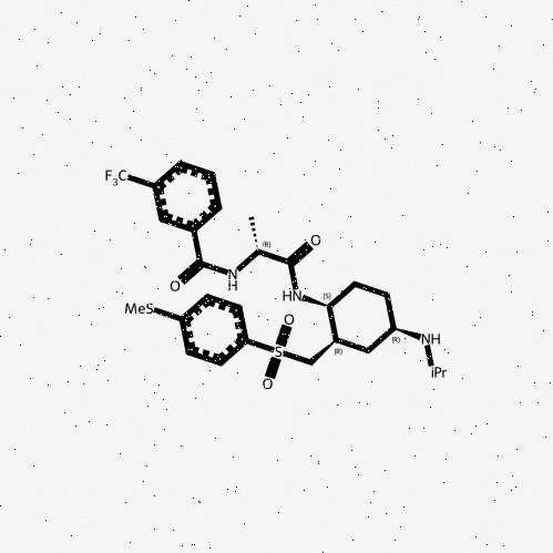 CSc1ccc(S(=O)(=O)C[C@@H]2C[C@H](NC(C)C)CC[C@@H]2NC(=O)[C@@H](C)NC(=O)c2cccc(C(F)(F)F)c2)cc1